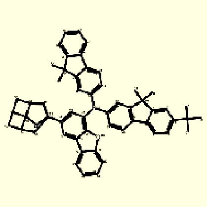 CC(C)(C)c1ccc2c(c1)C(C)(C)c1cc(N(c3ccc4c(c3)C(C)(C)c3ccccc3-4)c3cc(C45CC6CC7CC(C4)C76C5)cc4c3oc3ccccc34)ccc1-2